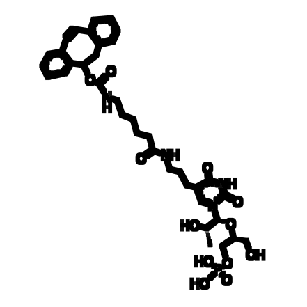 C[C@H](O)[C@@H](O[C@@H](CO)COP(=O)(O)O)n1cc(CCCNC(=O)CCCCCNC(=O)OC2Cc3ccccc3C#Cc3ccccc32)c(=O)[nH]c1=O